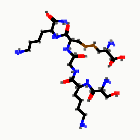 NCCCCC(NC(=O)[C@@H](CSSC[C@H](N)C(=O)O)NC(=O)CNC(=O)[C@H](CCCCN)NC(=O)[C@@H](N)CO)C(N)=O